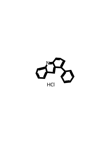 Cl.c1ccc(-c2cccc3nc4ccccc4cc23)cc1